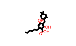 CCCCCCc1cc(O)c(CC2=C(C)CC(C)(C)CC2)c(O)c1C(=O)O